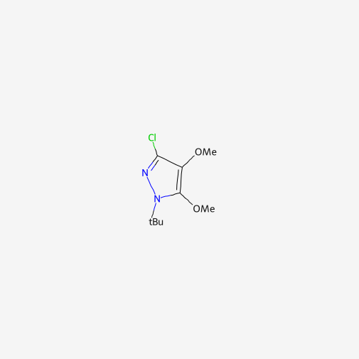 COc1c(Cl)nn(C(C)(C)C)c1OC